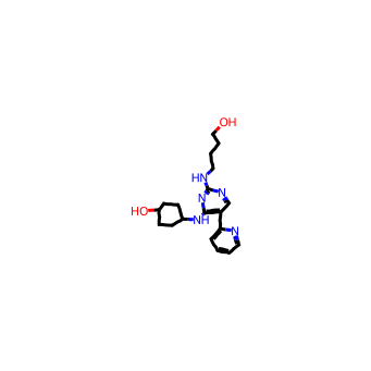 OCCCCNc1ncc(-c2ccccn2)c(NC2CCC(O)CC2)n1